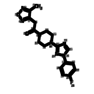 Cc1nonc1CC(=O)N1CCN(c2ncn(-c3ccc(F)cc3)n2)CC1